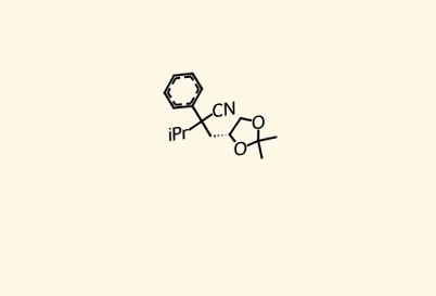 CC(C)C(C#N)(C[C@@H]1COC(C)(C)O1)c1ccccc1